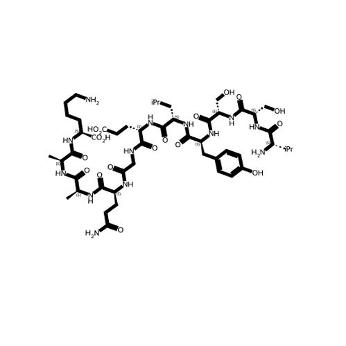 CC(C)C[C@H](NC(=O)[C@H](Cc1ccc(O)cc1)NC(=O)[C@H](CO)NC(=O)[C@H](CO)NC(=O)[C@@H](N)C(C)C)C(=O)N[C@@H](CCC(=O)O)C(=O)NCC(=O)N[C@@H](CCC(N)=O)C(=O)N[C@@H](C)C(=O)N[C@@H](C)C(=O)N[C@@H](CCCCN)C(=O)O